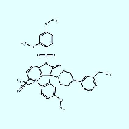 CCOc1ccc(OC)cc1C1(N2CCN(c3ccnc(CC)c3)CC2)C(=O)N(S(=O)(=O)c2ccc(OC)cc2OC)c2ccc(C#N)cc21